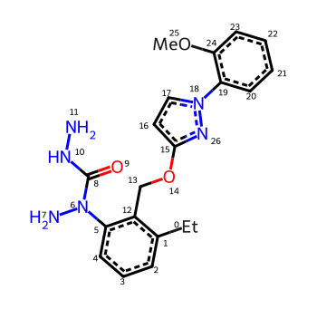 CCc1cccc(N(N)C(=O)NN)c1COc1ccn(-c2ccccc2OC)n1